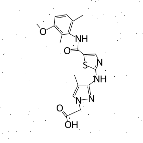 COc1ccc(C)c(NC(=O)c2cnc(Nc3nn(CC(=O)O)cc3C)s2)c1C